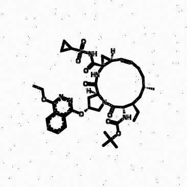 CCOc1nnc(O[C@@H]2C[C@H]3C(=O)N[C@]4(C(=O)NS(=O)(=O)C5CC5)C[C@H]4/C=C\CC[C@H](C)C[C@@H](CC)[C@H](NC(=O)OC(C)(C)C)C(=O)N3C2)c2ccccc12